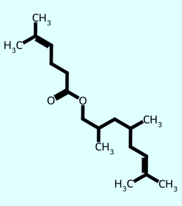 CC(C)=CCCC(=O)OCC(C)CC(C)CC=C(C)C